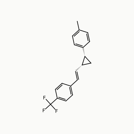 Cc1ccc([C@@H]2C[C@@H]2/C=C/c2ccc(C(F)(F)F)cc2)cc1